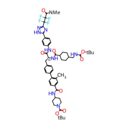 CNC(=O)C(F)(F)C(F)(F)c1n[nH]c(-c2ccc(NC(=O)[C@H](Cc3ccc(-c4ccc(C(=O)NC5CCN(C(=O)OC(C)(C)C)CC5)cc4C)cc3)NC(=O)C3CCC(CNC(=O)OC(C)(C)C)CC3)cc2)n1